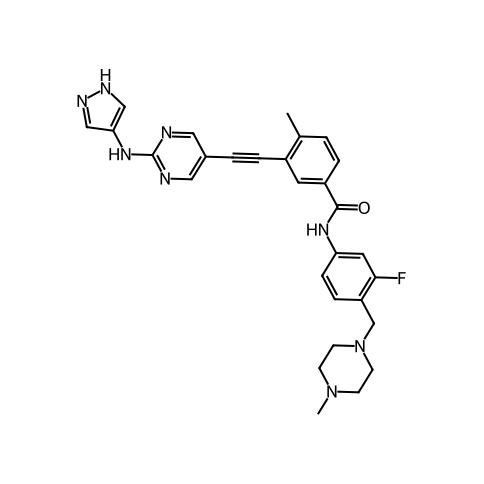 Cc1ccc(C(=O)Nc2ccc(CN3CCN(C)CC3)c(F)c2)cc1C#Cc1cnc(Nc2cn[nH]c2)nc1